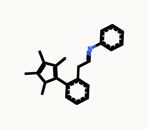 CC1=C(C)C(C)C(c2ccccc2CC=Nc2ccccc2)=C1C